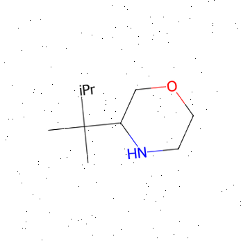 CC(C)C(C)(C)C1COCCN1